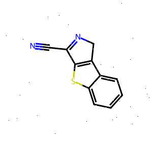 N#CC1=NCc2c1sc1ccccc21